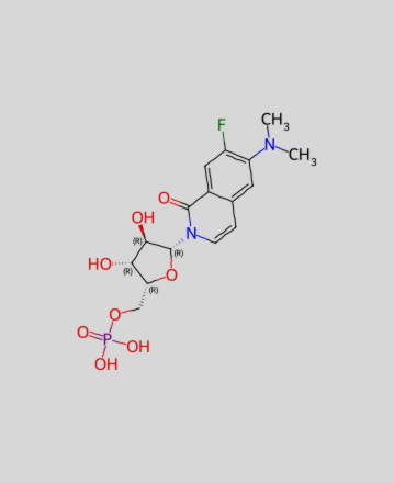 CN(C)c1cc2ccn([C@@H]3O[C@H](COP(=O)(O)O)[C@H](O)[C@H]3O)c(=O)c2cc1F